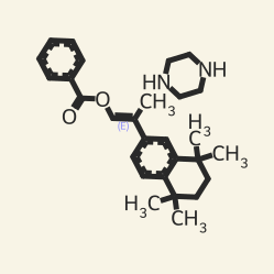 C/C(=C\OC(=O)c1ccccc1)c1ccc2c(c1)C(C)(C)CCC2(C)C.C1CNCCN1